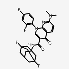 CN(C)c1ccc2c(=O)c(C(=O)NC34CC5CC(F)(CC(F)(C5)C3)C4)cn(-c3ccc(F)cc3F)c2n1